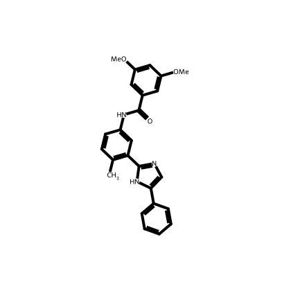 COc1cc(OC)cc(C(=O)Nc2ccc(C)c(-c3ncc(-c4ccccc4)[nH]3)c2)c1